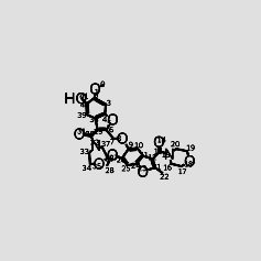 COc1cc2oc(COc3cc4c(C(=O)N5CCOCC5)c(C)oc4cc3OC)c(C(=O)N3CCOCC3)c2cc1O